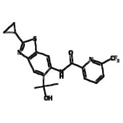 CC(C)(O)c1cc2nc(C3CC3)sc2cc1NC(=O)c1cccc(C(F)(F)F)n1